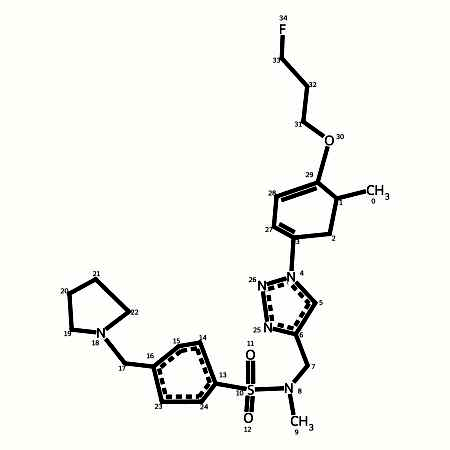 CC1CC(n2cc(CN(C)S(=O)(=O)c3ccc(CN4CCCC4)cc3)nn2)=CC=C1OCCCF